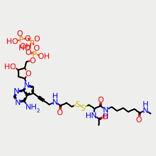 CNC(=O)CCCCCNC(=O)C(CSSCCC(=O)NCC#Cc1cn(C2CC(O)C(COP(=O)(O)OP(=O)(O)OP(=O)(O)O)O2)c2ncnc(N)c12)NC(C)=O